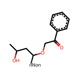 CCCCCCCCCC(CC(C)O)OCC(=O)c1ccccc1